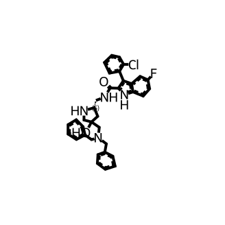 O=C(NC[C@@H]1CC(O)(CN(Cc2ccccc2)Cc2ccccc2)CN1)c1[nH]c2ccc(F)cc2c1-c1ccccc1Cl